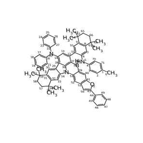 Cc1ccc(Nc2cc3c(cc2-c2cc(N(c4ccccc4)c4ccccc4)c4c5cc6c(cc5n5c4c2Bc2cc4oc(-c7ccccc7)cc4cc2-5)C(C)(C)CCC6(C)C)C(C)(C)CCC3(C)C)cc1